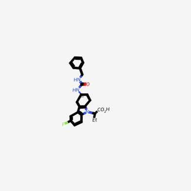 CCC(C(=O)O)n1c2c(c3cc(F)ccc31)C[C@@H](NC(=O)NCc1ccccc1)CC2